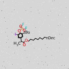 CCCCCCCCCCCCCCCCCCOC(=O)C(C)c1cc(I)c(OP(OF)OF)c(C(C)(C)C)c1